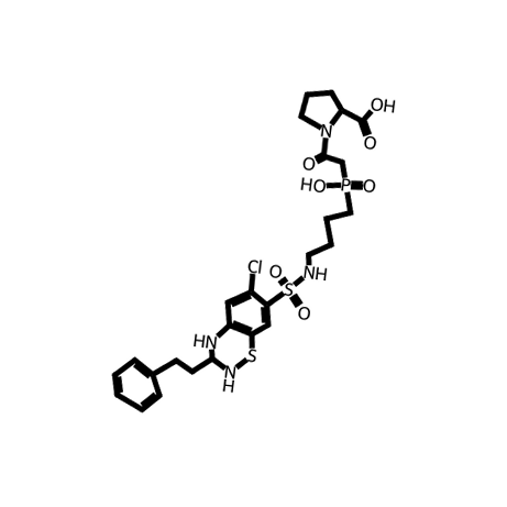 O=C(O)C1CCCN1C(=O)CP(=O)(O)CCCCNS(=O)(=O)c1cc2c(cc1Cl)NC(CCc1ccccc1)NS2